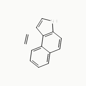 C=C.c1ccc2c(c1)ccc1[nH]ccc12